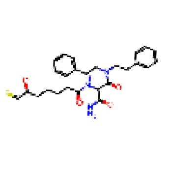 NC(=O)C(NC(=O)CCCCC(=O)C=S)C(=O)N(CCc1ccccc1)CCc1ccccc1